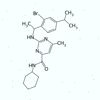 Cc1cc(C(=O)NC2CCCCC2)nc(NC(C)c2ccc(C(C)C)cc2Br)n1